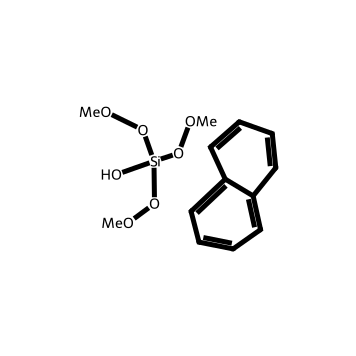 COO[Si](O)(OOC)OOC.c1ccc2ccccc2c1